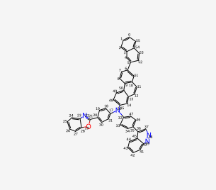 c1ccc2cc(-c3ccc4c(ccc5cc(N(c6ccc(-c7nc8ccccc8o7)cc6)c6ccc(-c7cnnc8ccccc78)cc6)ccc54)c3)ccc2c1